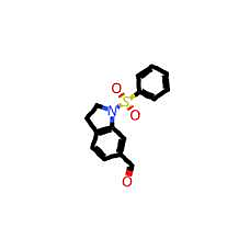 O=Cc1ccc2c(c1)N(S(=O)(=O)c1ccccc1)CC2